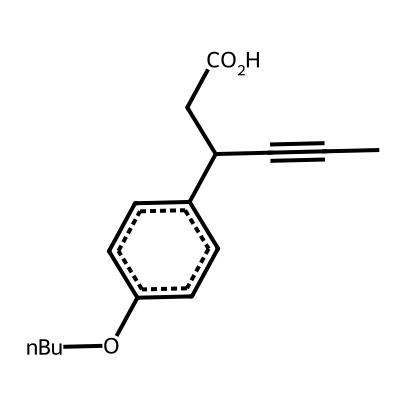 CC#CC(CC(=O)O)c1ccc(OCCCC)cc1